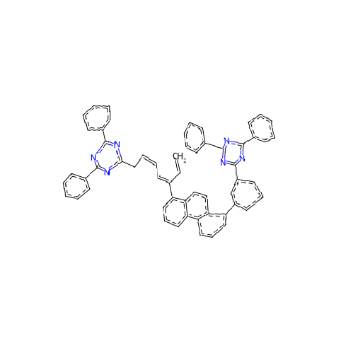 C=C/C(=C\C=C/Cc1nc(-c2ccccc2)nc(-c2ccccc2)n1)c1cccc2c1ccc1c(-c3cccc(-c4nc(-c5ccccc5)nc(-c5ccccc5)n4)c3)cccc12